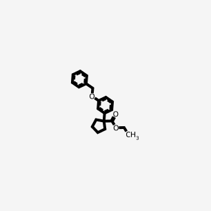 CCOC(=O)C1(c2cccc(OCc3ccccc3)c2)CCCC1